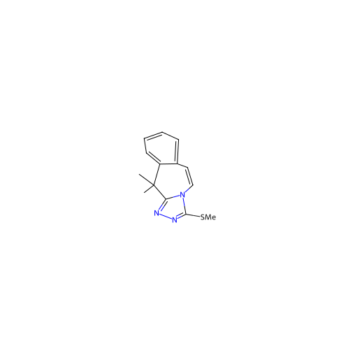 CSc1nnc2n1C=Cc1ccccc1C2(C)C